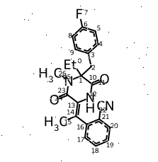 CCC1(Cc2ccc(F)cc2)C(=O)NC(=C(C)c2ccccc2C#N)C(=O)N1C